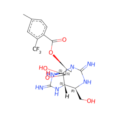 Cc1ccc(C(=O)O[C@H]2CN3C(=N)N[C@@H](CO)[C@@H]4NC(=N)N[C@@]43C2(O)O)c(C(F)(F)F)c1